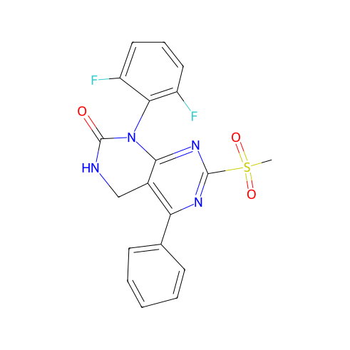 CS(=O)(=O)c1nc(-c2ccccc2)c2c(n1)N(c1c(F)cccc1F)C(=O)NC2